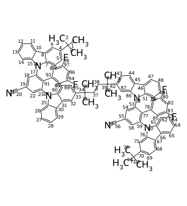 CC(C)(C)c1ccc2c(c1)c1ccccc1n2-c1cc(C#N)cc(-n2c3ccccc3c3cc(C(C)(C)CCC(C)(C)c4ccc5c6ccccc6n(-c6cc(C#N)cc(-n7c8ccccc8c8ccc(C(C)(C)C)cc87)c6-c6cc(F)cc(F)c6)c5c4)ccc32)c1-c1cc(F)cc(F)c1